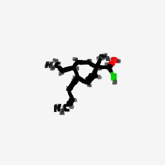 C=C/C=C1\C=CC(C)(C(=O)Cl)C=C\C1=C/C